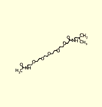 CC(=O)NCCOCCOCCOCCOCCOCC(=O)NCC(C)C